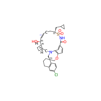 O=C1NS(=O)(=O)[C@H](CC2CC2)CC/C=C\[C@H](O)[C@@H]2CC[C@H]2CN2C[C@@]3(CCCc4cc(Cl)ccc43)COc3ccc1cc32